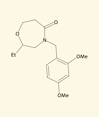 CCC1CN(Cc2ccc(OC)cc2OC)C(=O)CCO1